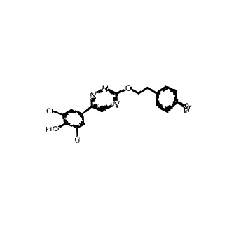 Oc1c(Cl)cc(-c2cnc(OCCc3ccc(Br)cc3)nn2)cc1Cl